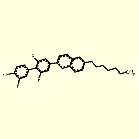 CCCCCCCc1ccc2cc(-c3cc(F)c(-c4ccc(Cl)c(F)c4)c(F)c3)ccc2c1